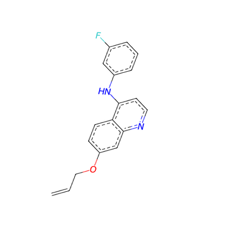 C=CCOc1ccc2c(Nc3cccc(F)c3)ccnc2c1